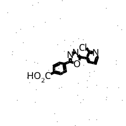 O=C(O)c1ccc(-c2nnc(-c3cccnc3Cl)o2)cc1